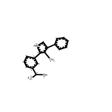 Cc1c(-c2ccccc2)c[nH]c1-c1cccc(C(O)C(F)(F)F)c1